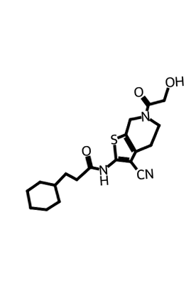 N#Cc1c(NC(=O)CCC2CCCCC2)sc2c1CCN(C(=O)CO)C2